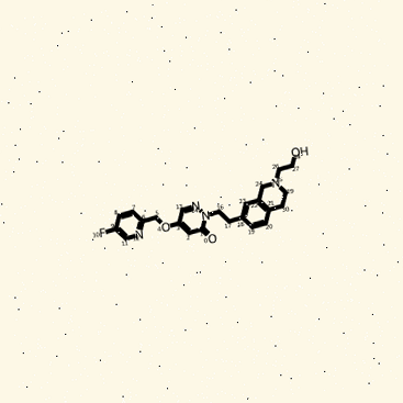 O=c1cc(OCc2ccc(F)cn2)cnn1CCc1ccc2c(c1)CN(CCO)CC2